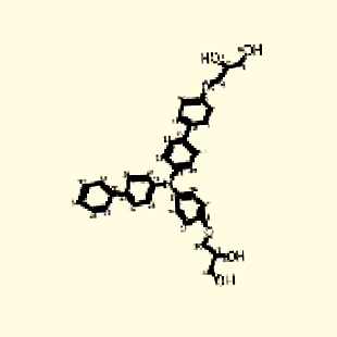 OCC(O)COc1ccc(-c2ccc(N(c3ccc(OCC(O)CO)cc3)c3ccc(-c4ccccc4)cc3)cc2)cc1